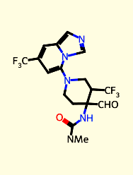 CNC(=O)NC1(C=O)CCN(c2cc(C(F)(F)F)cc3cncn23)CC1C(F)(F)F